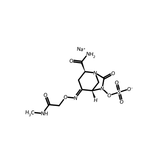 CNC(=O)CON=C1C[C@@H](C(N)=O)N2C[C@@H]1N(OS(=O)(=O)[O-])C2=O.[Na+]